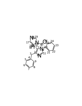 CC(C)C1=C(Cc2ccccc2)N=C[N+]1(C(=O)n1ccnc1)c1ccccc1